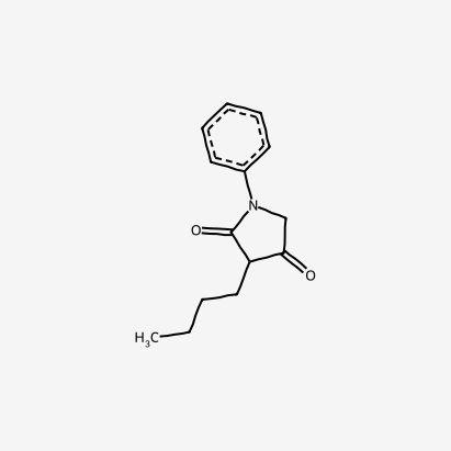 CCCCC1C(=O)CN(c2ccccc2)C1=O